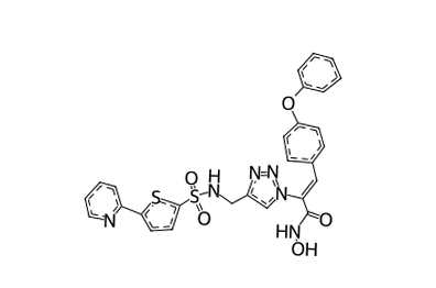 O=C(NO)C(=Cc1ccc(Oc2ccccc2)cc1)n1cc(CNS(=O)(=O)c2ccc(-c3ccccn3)s2)nn1